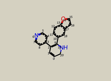 C1=CC(c2ccncc2)=C(c2ccc3occc3c2)NC1